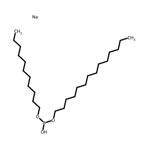 CCCCCCCCCCCCCCOB(O)OCCCCCCCCCCC.[Na]